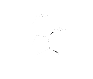 COC[C@H]1O[C@@H](C)[C@H](F)[C@@H]1OC